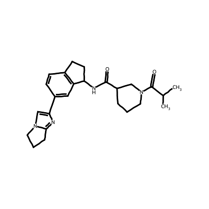 CC(C)C(=O)N1CCCC(C(=O)NC2CCc3ccc(-c4cn5c(n4)CCC5)cc32)C1